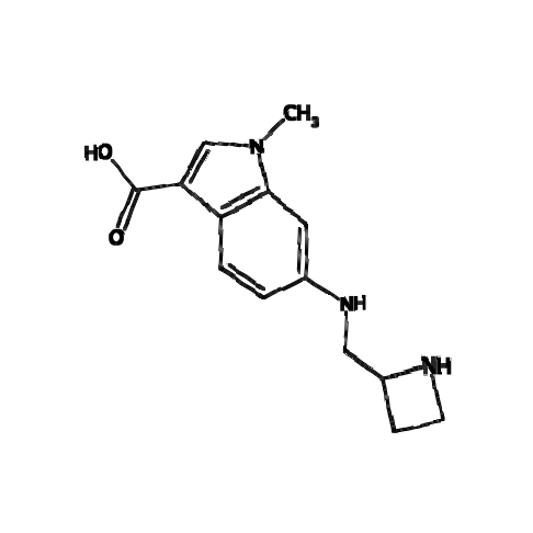 Cn1cc(C(=O)O)c2ccc(NCC3CCN3)cc21